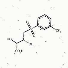 O=C(O)[C@H](O)[C@@H](O)CS(=O)(=O)c1cccc(C(F)(F)F)c1